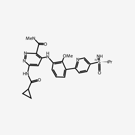 CNC(=O)c1nnc(NC(=O)C2CC2)cc1Nc1cccc(-c2ccc([S@@](=N)(=O)C(C)C)cn2)c1OC